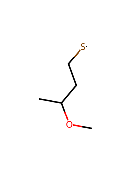 COC(C)CC[S]